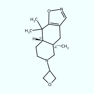 CC1(C)c2oncc2C[C@@]2(C)CN(C3COC3)CC[C@H]12